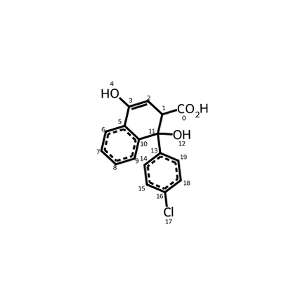 O=C(O)C1C=C(O)c2ccccc2C1(O)c1ccc(Cl)cc1